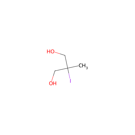 CC(I)(CO)CO